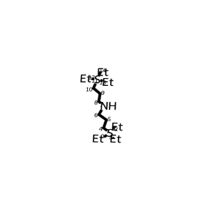 CCS(CC)(CC)CCCNCCCS(CC)(CC)CC